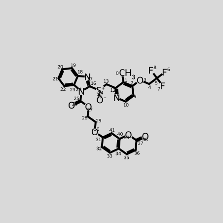 Cc1c(OCC(F)(F)F)ccnc1C[S+]([O-])c1nc2ccccc2n1C(=O)OCCOc1ccc2ccc(=O)oc2c1